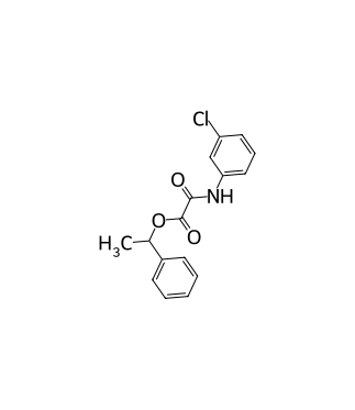 CC(OC(=O)C(=O)Nc1cccc(Cl)c1)c1ccccc1